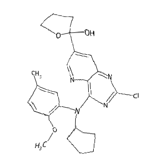 COc1ccc(C)cc1N(c1nc(Cl)nc2cc(C3(O)CCCO3)cnc12)C1CCCC1